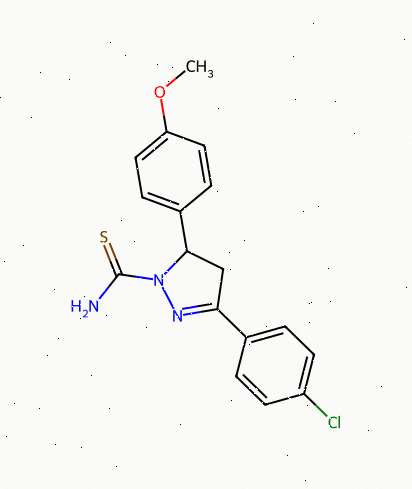 COc1ccc(C2CC(c3ccc(Cl)cc3)=NN2C(N)=S)cc1